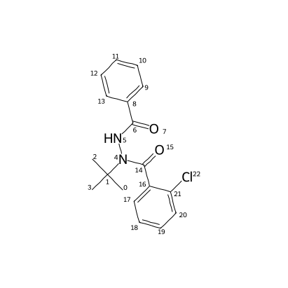 CC(C)(C)N(NC(=O)c1ccccc1)C(=O)c1ccccc1Cl